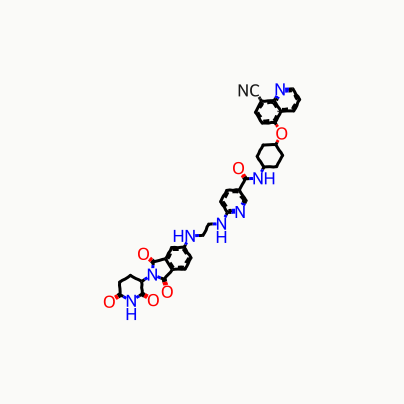 N#Cc1ccc(OC2CCC(NC(=O)c3ccc(NCCNc4ccc5c(c4)C(=O)N(C4CCC(=O)NC4=O)C5=O)nc3)CC2)c2cccnc12